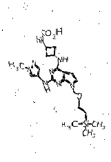 Cn1cc(Nc2nc(N[C@H]3C[C@H](NC(=O)O)C3)c3ccn(COCC[Si](C)(C)C)c3n2)cn1